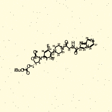 CC(C)COC(=O)OC[C@H]1CN(c2cc(F)c(N3CCN(C(=O)CNC(=O)c4cn5ccncc5n4)CC3)c(F)c2)C(=O)O1